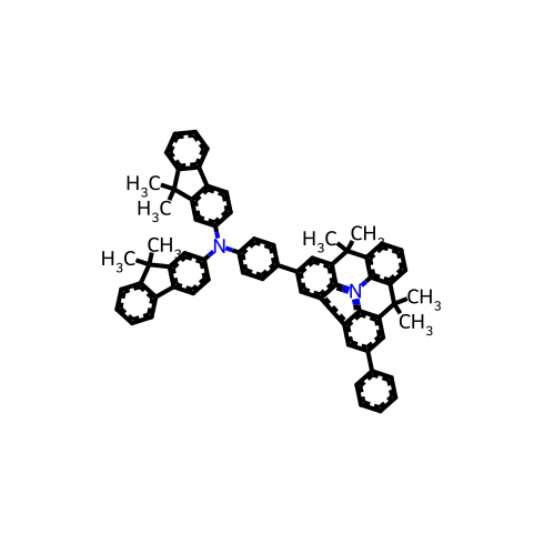 CC1(C)c2ccccc2-c2ccc(N(c3ccc(-c4cc5c6c(c4)c4cc(-c7ccccc7)cc7c4n6-c4c(cccc4C5(C)C)C7(C)C)cc3)c3ccc4c(c3)C(C)(C)c3ccccc3-4)cc21